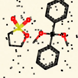 CO[Si](OC)(c1ccccc1)c1ccccc1.O=S1(=O)CCCO1